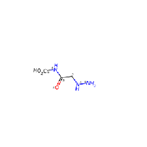 NNCC(=O)NC(=O)O